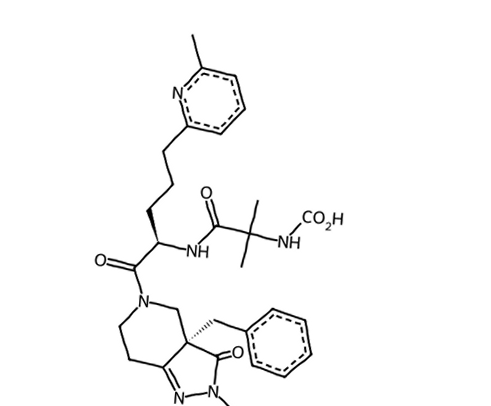 Cc1cccc(CCC[C@@H](NC(=O)C(C)(C)NC(=O)O)C(=O)N2CCC3=NN(C)C(=O)[C@]3(Cc3ccccc3)C2)n1